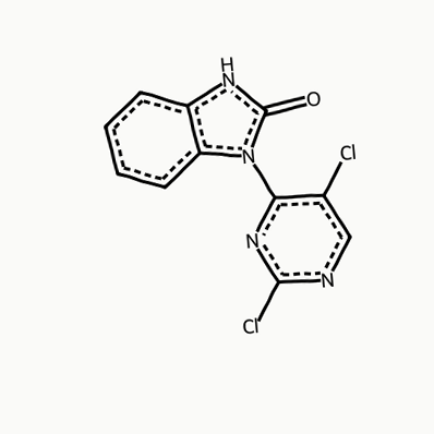 O=c1[nH]c2ccccc2n1-c1nc(Cl)ncc1Cl